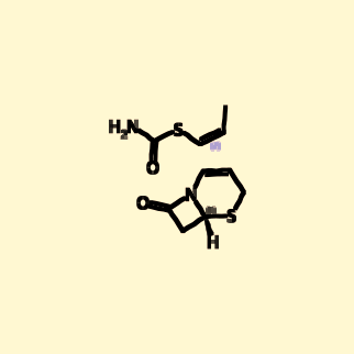 C/C=C\SC(N)=O.O=C1C[C@H]2SCC=CN12